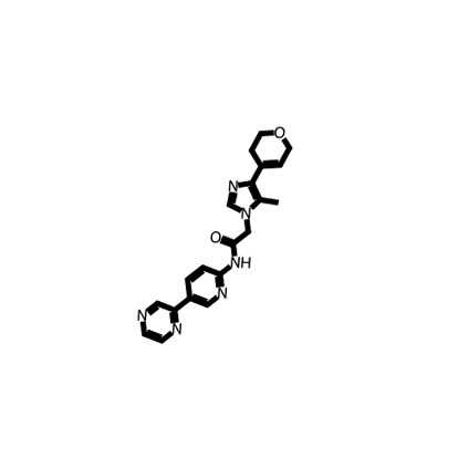 Cc1c(C2=CCOCC2)ncn1CC(=O)Nc1ccc(-c2cnccn2)cn1